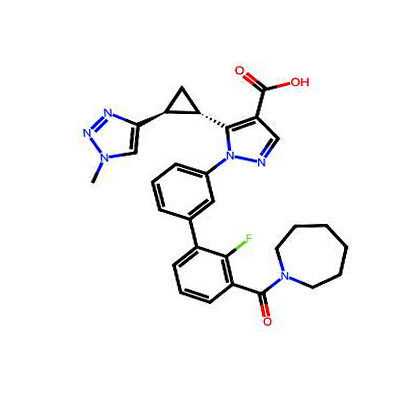 Cn1cc([C@H]2C[C@@H]2c2c(C(=O)O)cnn2-c2cccc(-c3cccc(C(=O)N4CCCCCC4)c3F)c2)nn1